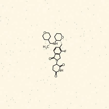 C[C@@H](N[C@H]1CCCO[C@@H]1Cc1ccc2c(c1F)CN(C1CCC(=O)NC1=O)C2=O)C1CCOCC1